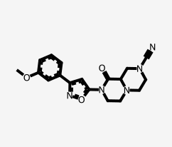 COc1cccc(-c2cc(N3CCN4CCN(C#N)CC4C3=O)on2)c1